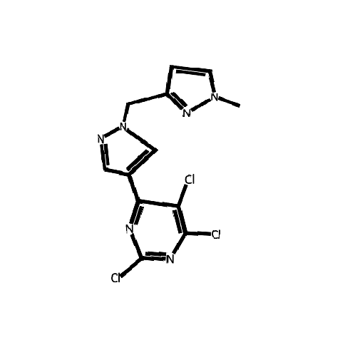 Cn1ccc(Cn2cc(-c3nc(Cl)nc(Cl)c3Cl)cn2)n1